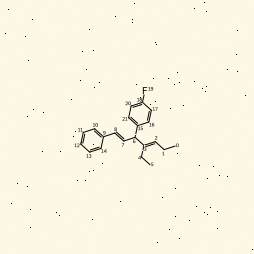 CC/C=C(\CC)C(/C=C/c1ccccc1)c1ccc(F)cc1